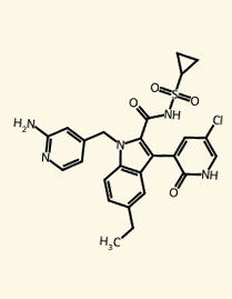 CCc1ccc2c(c1)c(-c1cc(Cl)c[nH]c1=O)c(C(=O)NS(=O)(=O)C1CC1)n2Cc1ccnc(N)c1